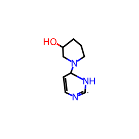 OC1CCCN(C2C=CN=[C]N2)C1